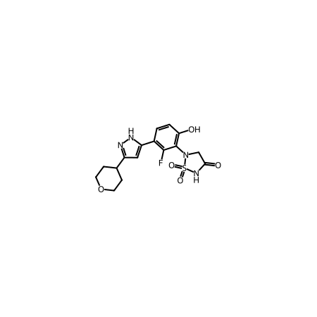 O=C1CN(c2c(O)ccc(-c3cc(C4CCOCC4)n[nH]3)c2F)S(=O)(=O)N1